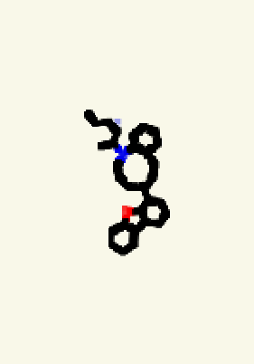 C=C/C=C\C(=C)n1cccc(-c2cccc3c4c(oc23)=CCCC=4)ccc2ccccc21